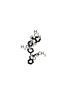 COCC(=O)N(Cc1ccccc1)C1CCN(C2(C)CCN(C(=O)c3c(C)ccnc3C)CC2)CC1